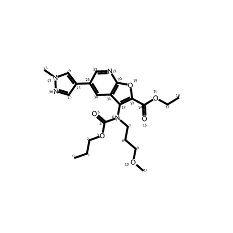 CCCOC(=O)N(CCCOC)c1c(C(=O)OCC)oc2ncc(-c3cnn(C)c3)cc12